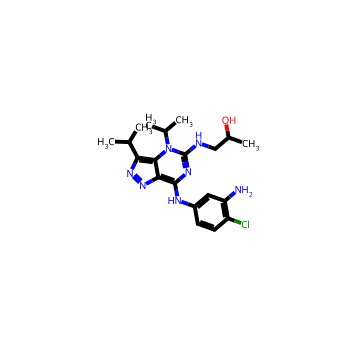 CC(O)CNc1nc(Nc2ccc(Cl)c(N)c2)c2nnc(C(C)C)c-2n1C(C)C